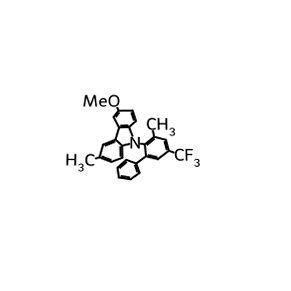 COc1ccc2c(c1)c1cc(C)ccc1n2-c1c(C)cc(C(F)(F)F)cc1-c1ccccc1